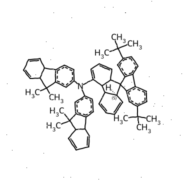 CC(C)(C)c1ccc2c(c1)C1(c3cc(C(C)(C)C)ccc3-2)C2C=CC=C(N(c3ccc4c(c3)C(C)(C)C3C=CC=CC43)c3ccc4c(c3)C(C)(C)C3C=CC=CC43)C2C2C=CC=C[C@@H]21